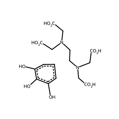 O=C(O)CN(CCN(CC(=O)O)CC(=O)O)CC(=O)O.Oc1cccc(O)c1O